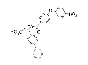 O=C(O)CC(NC(=O)c1ccc(Oc2ccc([N+](=O)[O-])cc2)cc1)c1ccc(-c2ccccc2)cc1